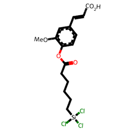 COc1cc(C=CC(=O)O)ccc1OC(=O)CCCCC[Si](Cl)(Cl)Cl